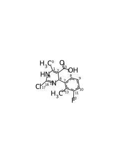 CC1=C(C(=O)O)C(c2cccc(F)c2C)N=C(Cl)N1